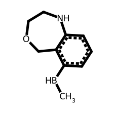 CBc1cccc2c1COCCN2